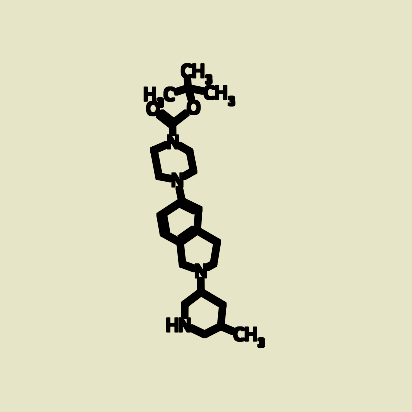 CC1CNCC(N2CCc3cc(N4CCN(C(=O)OC(C)(C)C)CC4)ccc3C2)C1